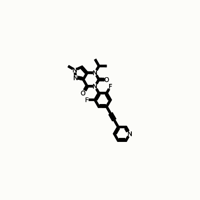 CC(C)n1c(=O)n(-c2c(F)cc(C#Cc3cccnc3)cc2F)c(=O)c2nn(C)cc21